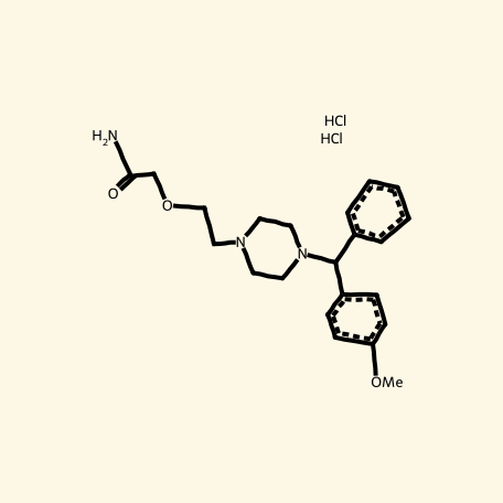 COc1ccc(C(c2ccccc2)N2CCN(CCOCC(N)=O)CC2)cc1.Cl.Cl